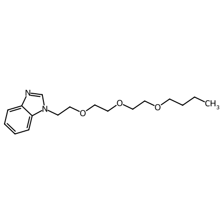 CCCCOCCOCCOCCn1cnc2ccccc21